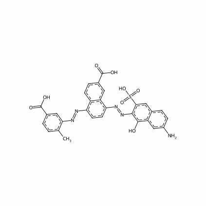 Cc1ccc(C(=O)O)cc1/N=N/c1ccc(/N=N/c2c(S(=O)(=O)O)cc3ccc(N)cc3c2O)c2cc(C(=O)O)ccc12